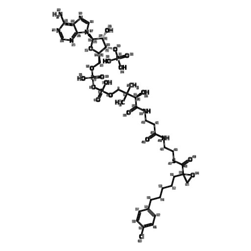 CC(C)(COP(=O)(O)OP(=O)(O)OC[C@H]1O[C@@H](n2cnc3c(N)ncnc32)[C@H](O)[C@@H]1OP(=O)(O)O)[C@@H](O)C(=O)NCCC(=O)NCCSC(=O)C1(CCCCCc2ccc(Cl)cc2)CO1